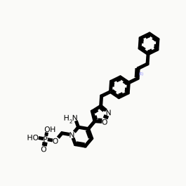 NC1C(c2cc(Cc3ccc(/C=C/Cc4ccccc4)cc3)no2)=CC=CN1COP(=O)(O)O